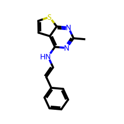 Cc1nc(NC=Cc2ccccc2)c2ccsc2n1